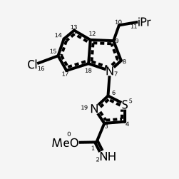 COC(=N)c1csc(-n2cc(CC(C)C)c3ccc(Cl)cc32)n1